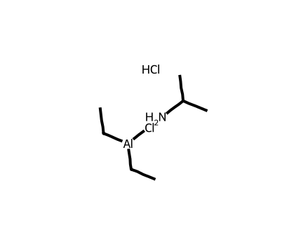 CC(C)N.C[CH2][Al]([Cl])[CH2]C.Cl